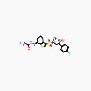 CN(CC(O)c1ccc(F)cc1)S(=O)(=O)c1csc2c1CCCC2=NOC(N)=O